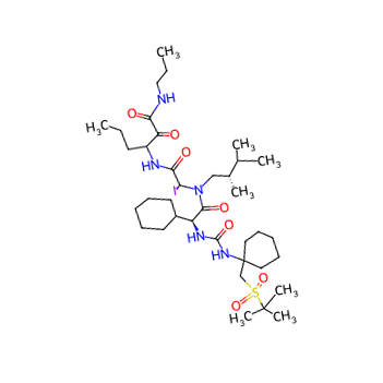 CCCNC(=O)C(=O)C(CCC)NC(=O)[C@H](I)N(C[C@@H](C)C(C)C)C(=O)[C@@H](NC(=O)NC1(CS(=O)(=O)C(C)(C)C)CCCCC1)C1CCCCC1